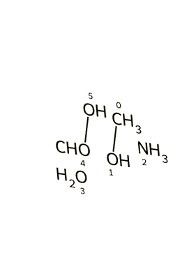 CO.N.O.O=CO